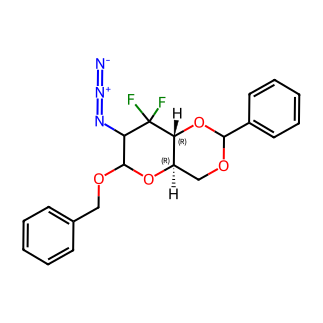 [N-]=[N+]=NC1C(OCc2ccccc2)O[C@@H]2COC(c3ccccc3)O[C@H]2C1(F)F